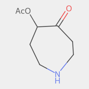 CC(=O)OC1CCNCCC1=O